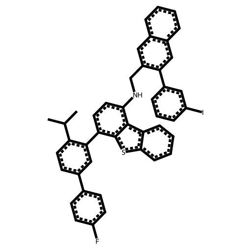 CC(C)c1ccc(-c2ccc(F)cc2)cc1-c1ccc(NCc2cc3ccccc3cc2-c2cccc(I)c2)c2c1sc1ccccc12